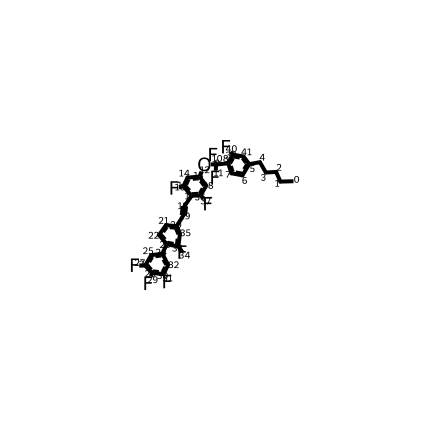 CCCCCc1ccc(C(F)(F)Oc2cc(F)c(C#Cc3ccc(-c4cc(F)c(F)c(F)c4)c(F)c3)c(F)c2)c(F)c1